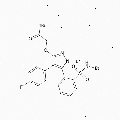 CCNS(=O)(=O)c1ccccc1-c1c(-c2ccc(F)cc2)c(OCC(=O)C(C)(C)C)nn1CC